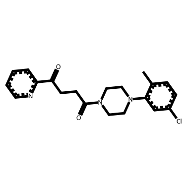 Cc1ccc(Cl)cc1N1CCN(C(=O)CCC(=O)c2ccccn2)CC1